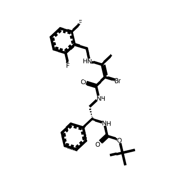 C/C(NCc1c(F)cccc1F)=C(\Br)C(=O)NC[C@H](NC(=O)OC(C)(C)C)c1ccccc1